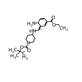 CCOC(=O)C1=C/C(=C/NC2CCN(C(=O)OC(C)(C)C)CC2)C(N)C=C1